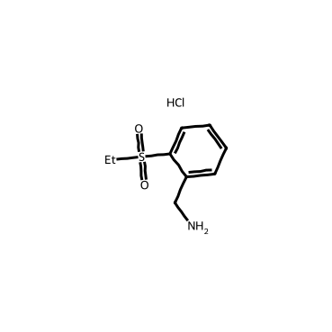 CCS(=O)(=O)c1ccccc1CN.Cl